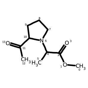 COC(=O)C(C)N1CCCC1C(C)=O